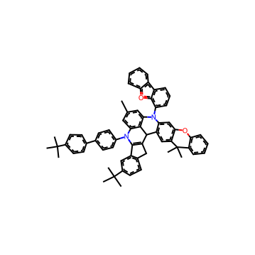 Cc1cc2c3c(c1)N(c1cccc4c1oc1ccccc14)c1cc4c(cc1C3C1=C(c3cc(C(C)(C)C)ccc3C1)N2c1ccc(-c2ccc(C(C)(C)C)cc2)cc1)C(C)(C)c1ccccc1O4